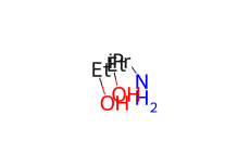 CC(C)N.CCO.CCO